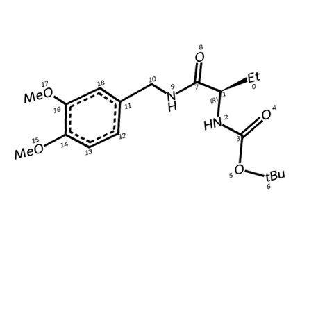 [CH2]C[C@@H](NC(=O)OC(C)(C)C)C(=O)NCc1ccc(OC)c(OC)c1